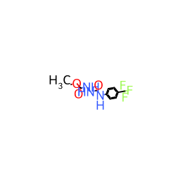 CCOC(=O)NNC(=O)Nc1ccc(C(F)(F)F)cc1